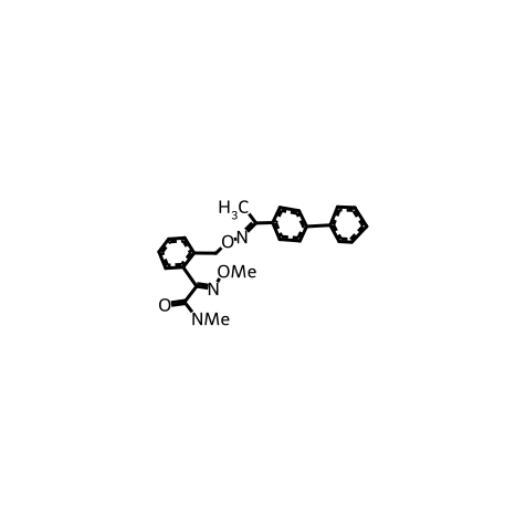 CNC(=O)/C(=N/OC)c1ccccc1CO/N=C(\C)c1ccc(-c2ccccc2)cc1